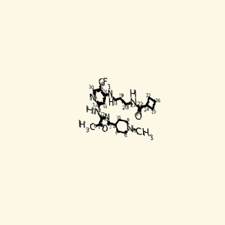 Cc1oc(C2CCN(C)CC2)nc1Nc1cc(NCCCNC(=O)C2CCC2)c(C(F)(F)F)cn1